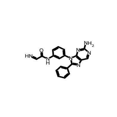 N=CC(=O)Nc1cccc(-n2c(-c3ccccc3)nc3cnc(N)nc32)c1